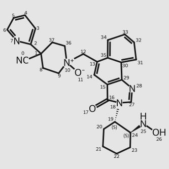 N#CC1(c2ccccn2)CC[N+]([O-])(Cc2cc3c(=O)n([C@H]4CCCC[C@@H]4NO)cnc3c3ccccc23)CC1